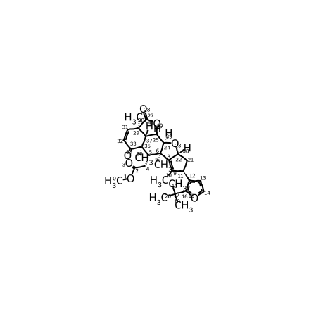 COC(=O)C[C@H]1[C@]2(C)C3=C(C)[C@H](c4ccoc4C(C)(C)C)C[C@H]3O[C@@H]2[C@@H]2OC(=O)[C@]3(C)C=CC(=O)[C@@]1(C)[C@@H]23